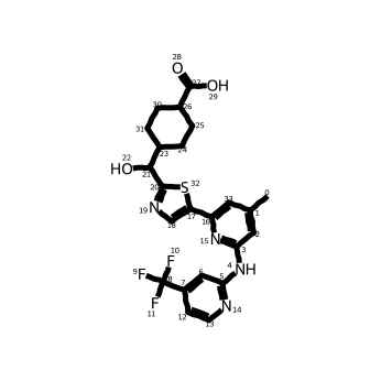 Cc1cc(Nc2cc(C(F)(F)F)ccn2)nc(-c2cnc(C(O)C3CCC(C(=O)O)CC3)s2)c1